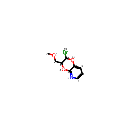 COCC1Oc2ncccc2OC1Br